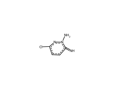 N=c1ccc(Cl)nn1N